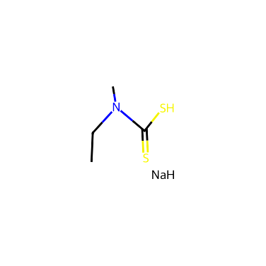 CCN(C)C(=S)S.[NaH]